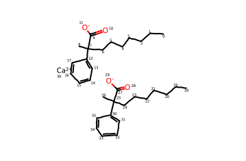 CCCCCCCC(C)(C(=O)[O-])c1ccccc1.CCCCCCCC(C)(C(=O)[O-])c1ccccc1.[Ca+2]